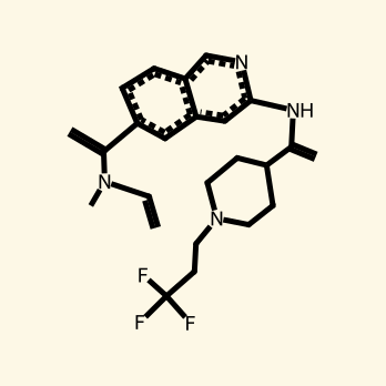 C=CN(C)C(=C)c1ccc2cnc(NC(=C)C3CCN(CCC(F)(F)F)CC3)cc2c1